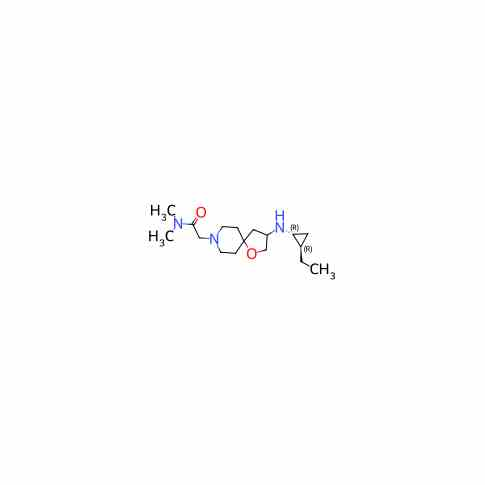 CC[C@@H]1C[C@H]1NC1COC2(CCN(CC(=O)N(C)C)CC2)C1